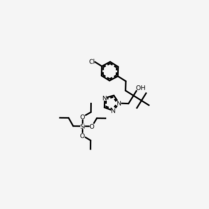 CC(C)(C)C(O)(CCc1ccc(Cl)cc1)Cn1cncn1.CCC[Si](OCC)(OCC)OCC